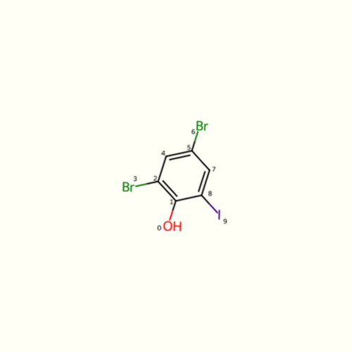 Oc1c(Br)cc(Br)cc1I